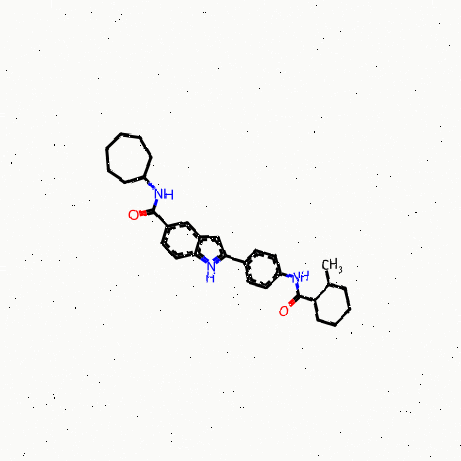 CC1CCCCC1C(=O)Nc1ccc(-c2cc3cc(C(=O)NC4CCCCCC4)ccc3[nH]2)cc1